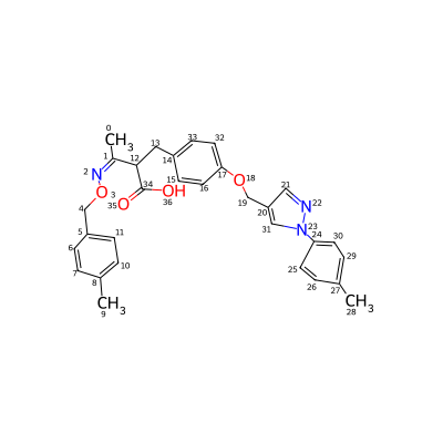 CC(=NOCc1ccc(C)cc1)C(Cc1ccc(OCc2cnn(-c3ccc(C)cc3)c2)cc1)C(=O)O